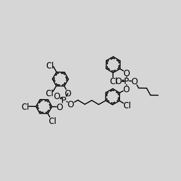 CCCCOP(=O)(Oc1ccccc1Cl)Oc1ccc(CCCCOP(=O)(Oc2ccc(Cl)cc2Cl)Oc2ccc(Cl)cc2Cl)cc1Cl